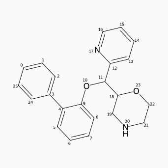 c1ccc(-c2ccccc2OC(c2ccccn2)C2CNCCO2)cc1